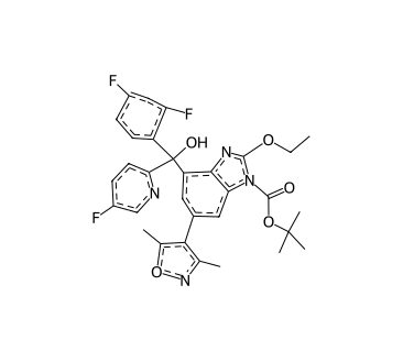 CCOc1nc2c(C(O)(c3ccc(F)cn3)c3ccc(F)cc3F)cc(-c3c(C)noc3C)cc2n1C(=O)OC(C)(C)C